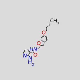 CCCCCOc1ccc2cc(CNC(=O)c3cccnc3N)oc2c1